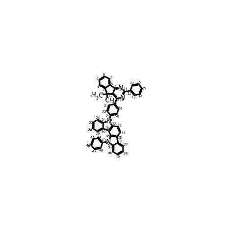 CC1(C)c2ccccc2-c2nc(-c3ccccc3)nc(-c3ccc(-n4c5ccccc5c5c4ccc4c6ccccc6n(-c6ccccc6)c45)cc3)c21